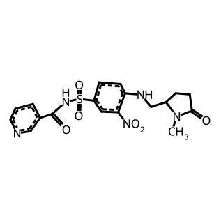 CN1C(=O)CCC1CNc1ccc(S(=O)(=O)NC(=O)c2cccnc2)cc1[N+](=O)[O-]